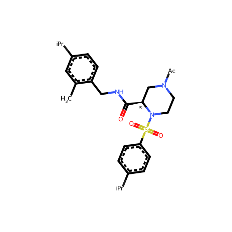 CC(=O)N1CCN(S(=O)(=O)c2ccc(C(C)C)cc2)[C@@H](C(=O)NCc2ccc(C(C)C)cc2C)C1